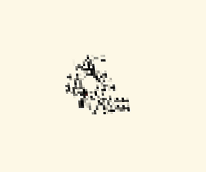 CO[C@@H]1[C@H](O)[C@@H](C)O[C@@H](OC[C@H](C)[C@H]2OC(=O)[C@H](C)[C@@H](O[C@@H](CC(C)=O)O[C@@H](C)C=O)[C@H](C)C[C@@H](C)C[C@](C)(OC(C)=O)C(=O)[C@H](C)[C@H](OC(=O)CC(C)C)[C@H]2C)[C@@H]1OC